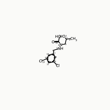 CC(O)CN(NCc1cc(Cl)cc(Cl)c1)C(=O)O